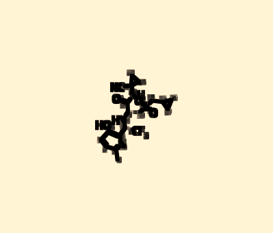 Cc1ccc(O)c([C@H](N[C@@H](CS(=O)(=O)CC2CC2)C(=O)NC2(C#N)CC2)C(F)(F)F)n1